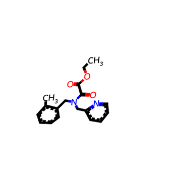 CCOC(=O)C(=O)N(Cc1ccccn1)Cc1ccccc1C